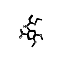 C=CC(Nc1cc(OC)c(OC)cc1[N+](=O)[O-])OCC